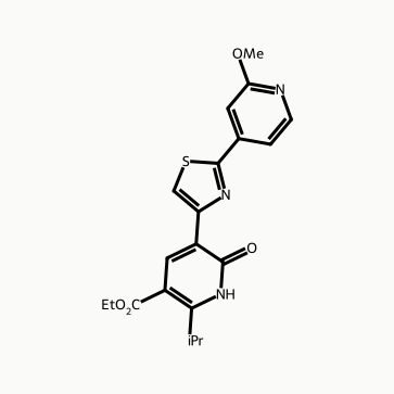 CCOC(=O)c1cc(-c2csc(-c3ccnc(OC)c3)n2)c(=O)[nH]c1C(C)C